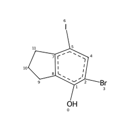 Oc1c(Br)cc(I)c2c1CCC2